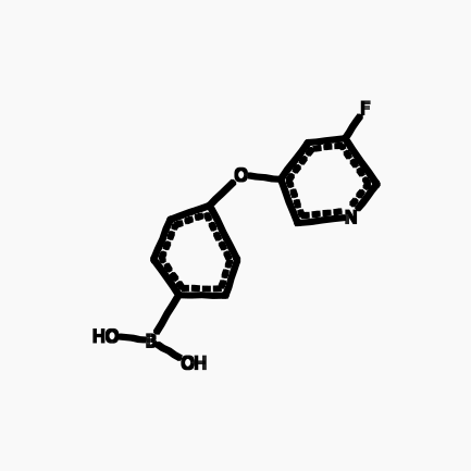 OB(O)c1ccc(Oc2cncc(F)c2)cc1